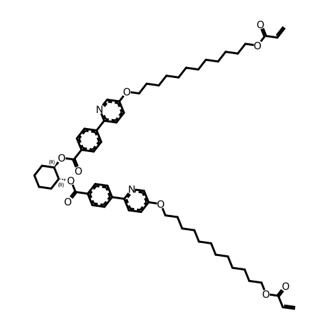 C=CC(=O)OCCCCCCCCCCCCOc1ccc(-c2ccc(C(=O)O[C@@H]3CCCC[C@H]3OC(=O)c3ccc(-c4ccc(OCCCCCCCCCCCCOC(=O)C=C)cn4)cc3)cc2)nc1